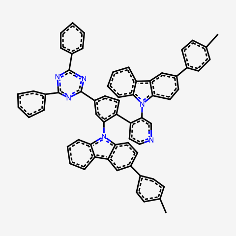 Cc1ccc(-c2ccc3c(c2)c2ccccc2n3-c2cnccc2-c2ccc(-c3nc(-c4ccccc4)nc(-c4ccccc4)n3)cc2-n2c3ccccc3c3cc(-c4ccc(C)cc4)ccc32)cc1